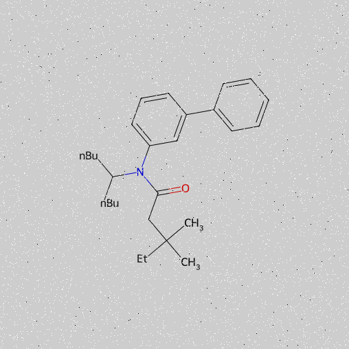 CCCCC(CCCC)N(C(=O)CC(C)(C)CC)c1cccc(-c2ccccc2)c1